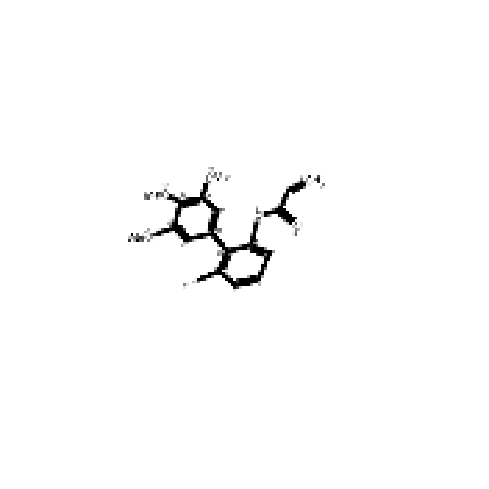 C=CC(=O)Oc1cccc(F)c1-c1cc(OC)c(OC)c(OC)c1